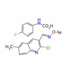 O=C(O)Nc1ccc(F)cc1.[2H]ON=Cc1cc2cc(C)ccc2nc1Cl